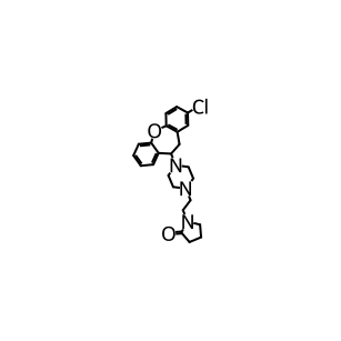 O=C1CCCN1CCN1CCN(C2Cc3cc(Cl)ccc3Oc3ccccc32)CC1